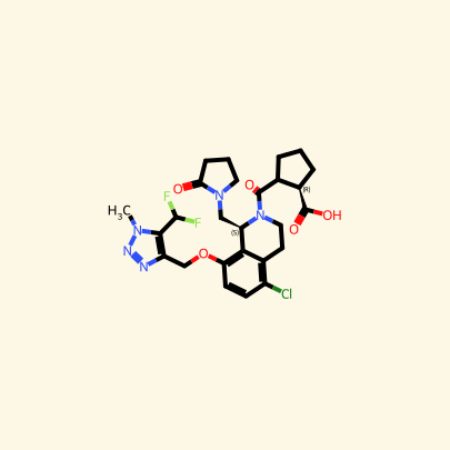 Cn1nnc(COc2ccc(Cl)c3c2[C@@H](CN2CCCC2=O)N(C(=O)C2CCC[C@H]2C(=O)O)CC3)c1C(F)F